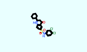 O=C1CC(C2CCCCC2)Nc2ccc(S(=O)(=O)Nc3ccc(Cl)c(Cl)c3)cc21